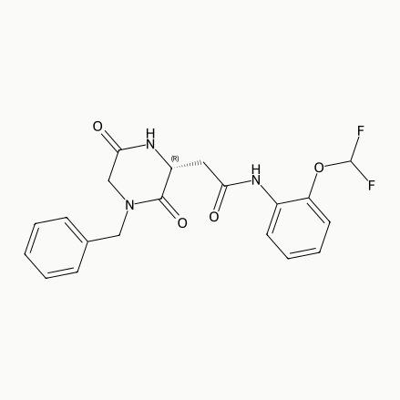 O=C(C[C@H]1NC(=O)CN(Cc2ccccc2)C1=O)Nc1ccccc1OC(F)F